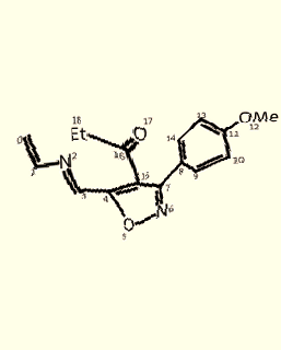 C=CN=Cc1onc(-c2ccc(OC)cc2)c1C(=O)CC